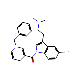 COc1ccc2c(c1)c(CCN(C)C)cn2C(=O)C1=CN(Cc2ccccc2)C=CC1